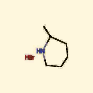 Br.CC1CCCCN1